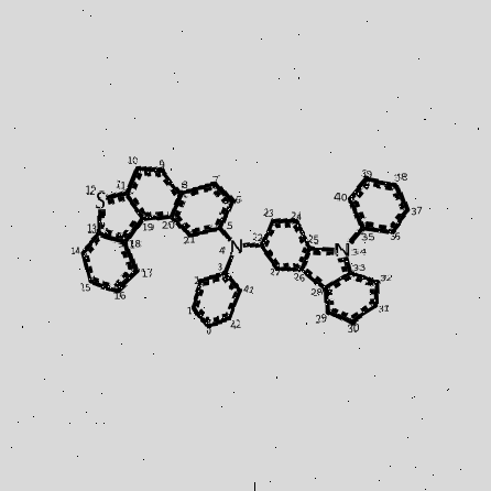 c1ccc(N(c2ccc3ccc4sc5ccccc5c4c3c2)c2ccc3c(c2)c2ccccc2n3-c2ccccc2)cc1